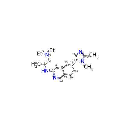 C=C(CN(CC)CC)Nc1cc2cc(-c3cnc(C)n3C)ccc2cn1